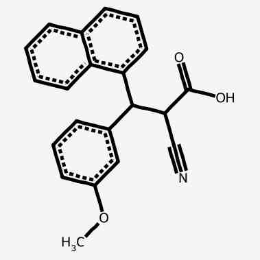 COc1cccc(C(c2cccc3ccccc23)C(C#N)C(=O)O)c1